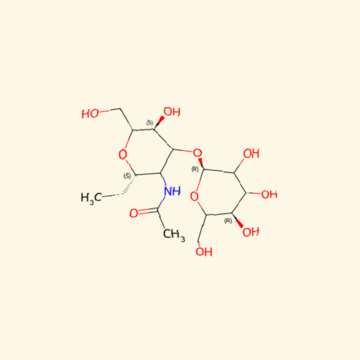 CC[C@@H]1OC(CO)[C@@H](O)C(O[C@@H]2OC(CO)[C@H](O)C(O)C2O)C1NC(C)=O